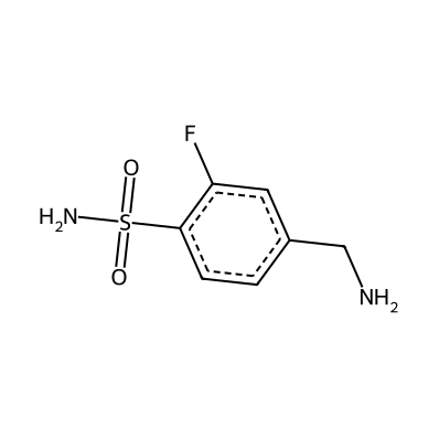 NCc1ccc(S(N)(=O)=O)c(F)c1